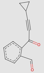 O=Cc1ccccc1C(=O)C#CC1CC1